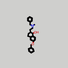 CN(CCC1CCc2cc(OCc3ccccc3)ccc2C1O)Cc1ccccc1